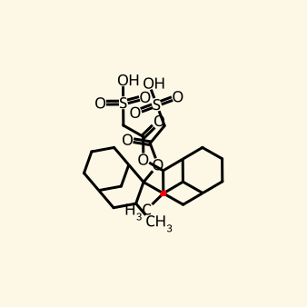 CC1CC2CCCC(C2CC2(OC(=O)CS(=O)(=O)O)C(C)CC3CCCC2C3)C1OC(=O)CS(=O)(=O)O